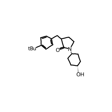 CC(C)(C)c1ccc(CC2CCN([C@H]3CC[C@@H](O)CC3)C2=O)cc1